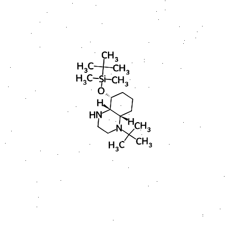 CC(C)(C)N1CCN[C@@H]2[C@H](O[Si](C)(C)C(C)(C)C)CCC[C@@H]21